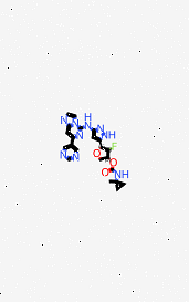 CC1(NC(=O)O[C@H]2CO[C@@H](c3cc(Nc4nc(-c5cncnc5)cc5nccn45)n[nH]3)[C@H]2F)CC1